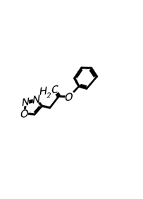 C=C(Cc1conn1)Oc1ccccc1